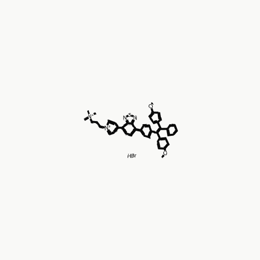 Br.COc1ccc(C(=C(c2ccc(OC)cc2)c2ccc(-c3ccc(-c4cc[n+](CCC[N+](C)(C)C)cc4)c4nsnc34)cc2)c2ccccc2)cc1